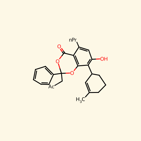 CCCc1cc(O)c(C2C=C(C)CCC2)c2c1C(=O)OC(CC(C)=O)(c1ccccc1)O2